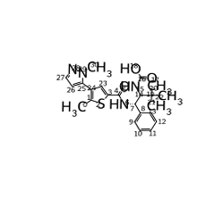 Cc1sc(C(=O)N[C@@H](c2ccccc2)C(NC(=O)O)C(C)(C)C)cc1-c1ccnn1C